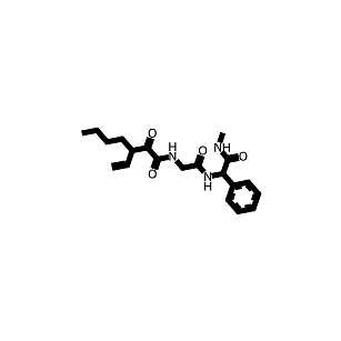 C=CC(CCCC)C(=O)C(=O)NCC(=O)NC(C(=O)NC)c1ccccc1